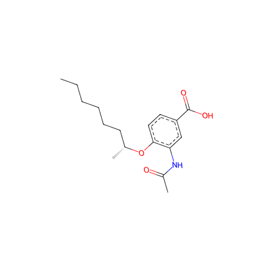 CCCCCC[C@@H](C)Oc1ccc(C(=O)O)cc1NC(C)=O